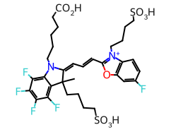 CC1(CCCCS(=O)(=O)O)C(=CC=Cc2oc3cc(F)ccc3[n+]2CCCCS(=O)(=O)O)N(CCCCCC(=O)O)c2c(F)c(F)c(F)c(F)c21